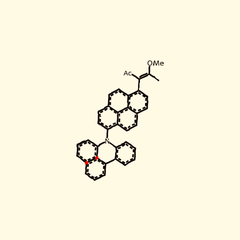 CO/C(C)=C(\C(C)=O)c1ccc2ccc3c(N(c4ccccc4)c4ccccc4-c4ccccc4)ccc4ccc1c2c43